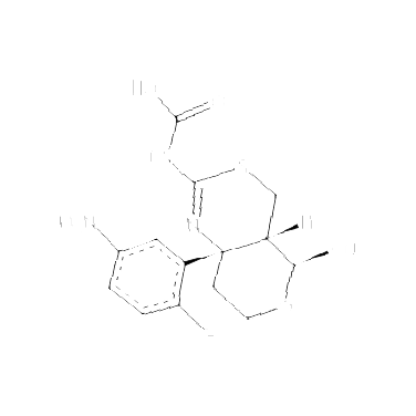 C[C@H]1OCC[C@]2(c3cc(N)ccc3F)N=C(NC(=O)O)SC[C@H]12